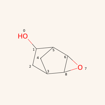 OC1CC2CC1C1OC21